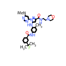 CNc1cc(-n2nc(C(=O)NCCN3CCOCC3)cc2Nc2cc(NC(=O)c3cccc(C(C)(C)F)c3)ccc2C)ncn1